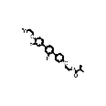 C=C(C)C(=O)O/C=C\Oc1ccc(-c2ccc(-c3ccc(O/C=C\OC)c(F)c3)cc2F)cc1